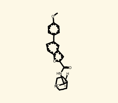 COc1ccc(-c2ccc3oc(C(=O)N[C@H]4CN5CCC4CC5)cc3c2)cc1